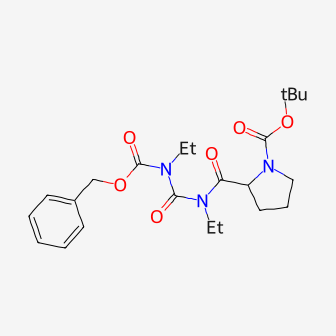 CCN(C(=O)OCc1ccccc1)C(=O)N(CC)C(=O)C1CCCN1C(=O)OC(C)(C)C